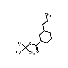 CSCC1CCCN(C(=O)OC(C)(C)C)C1